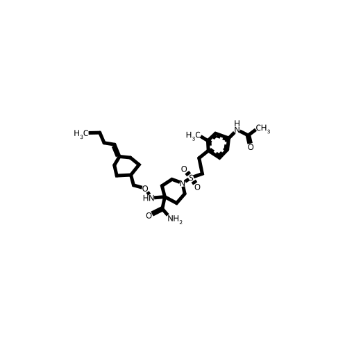 CCCC=C1CCC(CONC2(C(N)=O)CCN(S(=O)(=O)CCc3ccc(NC(C)=O)cc3C)CC2)CC1